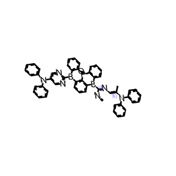 C=N/C(=N\C=C(/C)N(c1ccccc1)c1ccccc1)B1c2ccccc2P2(=O)c3ccccc3B(c3ncc(N(c4ccccc4)c4ccccc4)cn3)c3cccc1c32